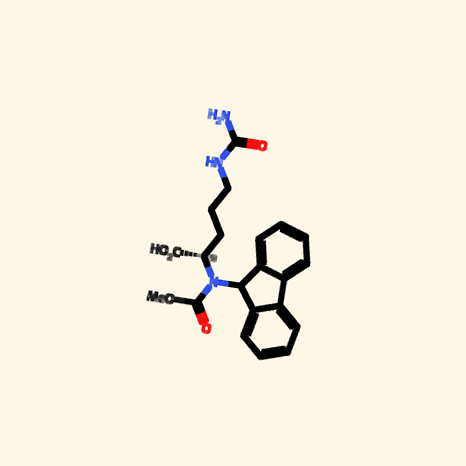 COC(=O)N(C1c2ccccc2-c2ccccc21)[C@@H](CCCNC(N)=O)C(=O)O